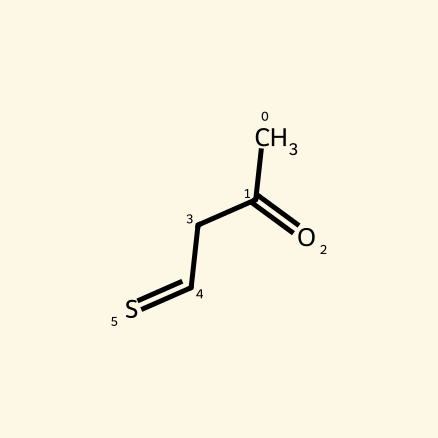 CC(=O)CC=S